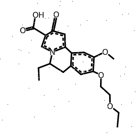 CCOCCOc1cc2c(cc1OC)-c1cc(=O)c(C(=O)O)cn1C(CC)C2